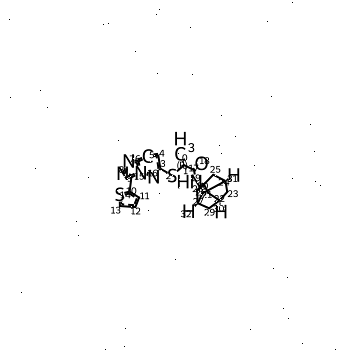 C[C@@H](Sc1ccc2nnc(-c3cccs3)n2n1)C(=O)NC12C[C@H]3C[C@H](C1)C[C@@H](C2)C3